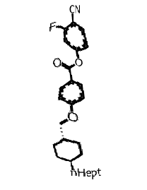 CCCCCCC[C@H]1CC[C@H](COc2ccc(C(=O)Oc3ccc(C#N)c(F)c3)cc2)CC1